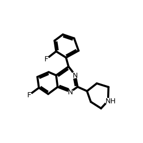 Fc1ccc2c(-c3ccccc3F)nc(C3CCNCC3)nc2c1